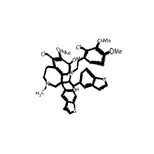 COc1ccc(CCNC(C(O)c2ccc3sccc3c2)C2(c3ccc4sccc4c3)CN(C)CCc3c2cc(OC)c(OC)c3Cl)c(Cl)c1OC